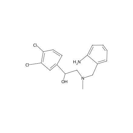 CN(Cc1ccccc1N)CC(O)c1ccc(Cl)c(Cl)c1